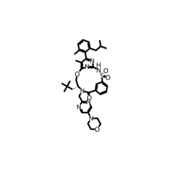 Cc1cccc(CC(C)C)c1-c1nc2nc(c1C)OC[C@@H](CC(C)(C)C)N(Cc1ncc(N3CCOCC3)cn1)C(=O)c1cccc(c1)S(=O)(=O)N2